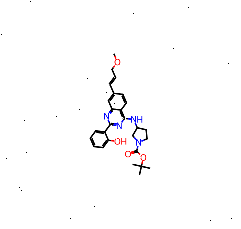 COCC=Cc1ccc2c(NC3CCN(C(=O)OC(C)(C)C)C3)nc(-c3ccccc3O)nc2c1